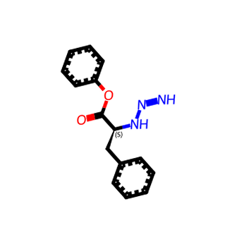 N=NN[C@@H](Cc1ccccc1)C(=O)Oc1ccccc1